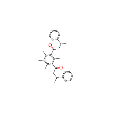 C[C](CC(=O)c1c(C)c(C)c(C)c(C(=O)C[C](C)c2ccccc2)c1C)c1ccccc1